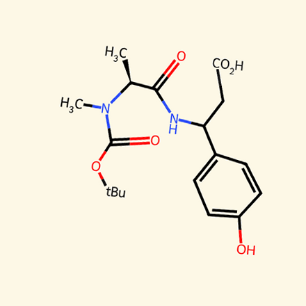 C[C@@H](C(=O)NC(CC(=O)O)c1ccc(O)cc1)N(C)C(=O)OC(C)(C)C